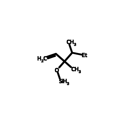 C=CC(C)(O[SiH3])C(C)CC